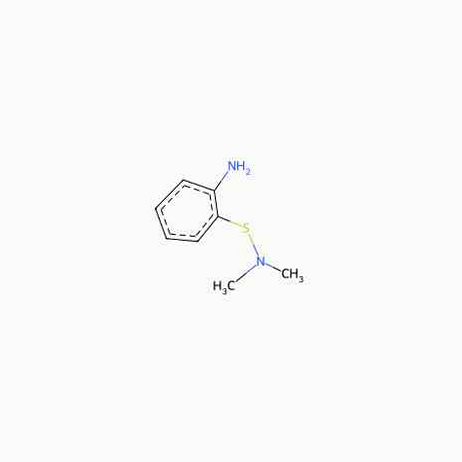 CN(C)Sc1ccccc1N